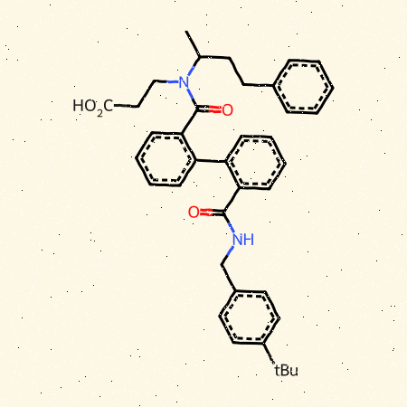 CC(CCc1ccccc1)N(CCC(=O)O)C(=O)c1ccccc1-c1ccccc1C(=O)NCc1ccc(C(C)(C)C)cc1